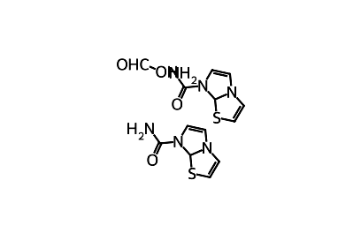 NC(=O)N1C=CN2C=CSC21.NC(=O)N1C=CN2C=CSC21.O=CO